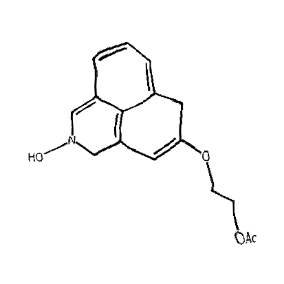 CC(=O)OCCOC1=CC2=c3c(cccc3=CN(O)C2)C1